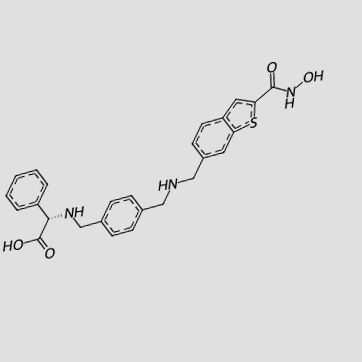 O=C(NO)c1cc2ccc(CNCc3ccc(CN[C@H](C(=O)O)c4ccccc4)cc3)cc2s1